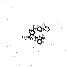 NC(=O)c1cnc(Nc2ccc(N3CCCCC3=O)cn2)cc1NCc1cccnc1C(F)(F)F